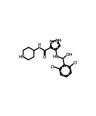 O=C(NC1CCNCC1)c1n[nH]cc1NC(O)c1c(Cl)cccc1Cl